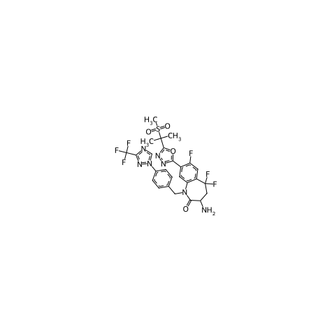 CC(C)(c1nnc(-c2cc3c(cc2F)C(F)(F)CC(N)C(=O)N3Cc2ccc(-n3cnc(C(F)(F)F)n3)cc2)o1)S(C)(=O)=O